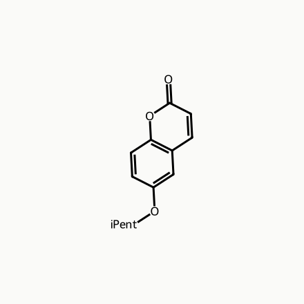 CCCC(C)Oc1ccc2oc(=O)ccc2c1